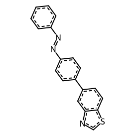 c1ccc(/N=N/c2ccc(-c3ccc4scnc4c3)cc2)cc1